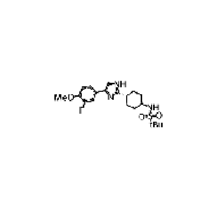 COc1ccc(-c2c[nH]c([C@H]3CC[C@H](NS(=O)(=O)C(C)(C)C)CC3)n2)cc1F